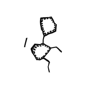 CC.CCc1cccc(-c2ccccc2)c1CC